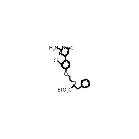 CCOC(=O)C(Cc1ccccc1)OCCOc1ccc(-c2cc(Cl)nc(N)n2)c(Cl)c1